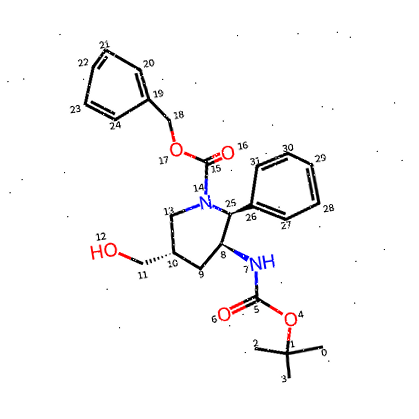 CC(C)(C)OC(=O)N[C@H]1C[C@H](CO)CN(C(=O)OCc2ccccc2)[C@H]1c1ccccc1